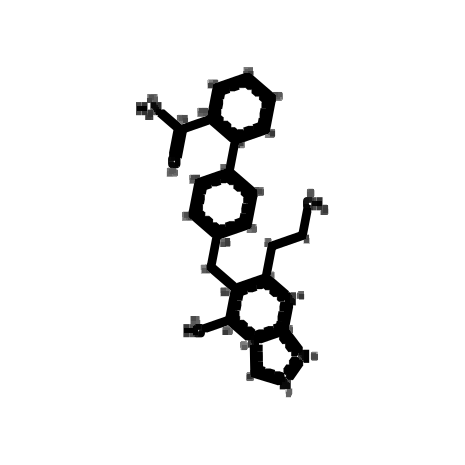 CCCc1nc2nncn2c(O)c1Cc1ccc(-c2ccccc2C(N)=O)cc1